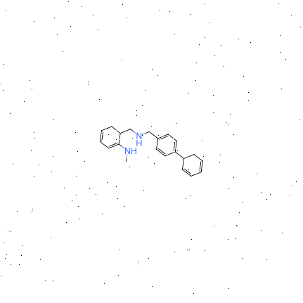 CNC1=CC=CCC1CNCc1ccc(C2C=CC=CC2)cc1